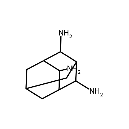 NC1C2CC3CC1C(N)C(C3)C2N